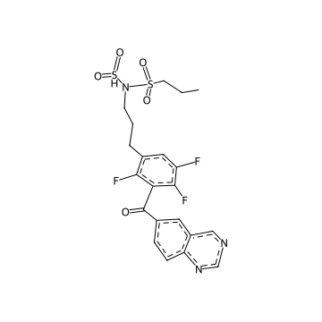 CCCS(=O)(=O)N(CCCc1cc(F)c(F)c(C(=O)c2ccc3ncncc3c2)c1F)[SH](=O)=O